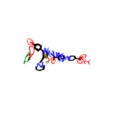 COc1ccc(-c2nc(NC(=O)c3cnc(N4CCC(C(=O)O)CC4)cn3)sc2CN2CCCC[C@H]2C)cc1OCF